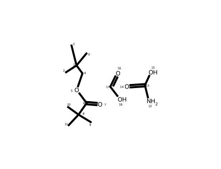 CC(C)(C)COC(=O)C(C)(C)C.NC(=O)O.O=CO